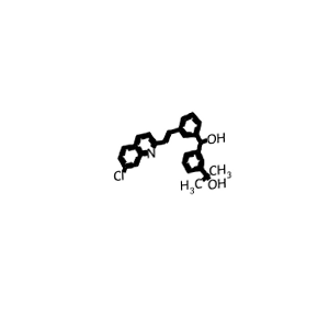 CC(C)(O)c1cccc(C(O)c2cccc(/C=C/c3ccc4ccc(Cl)cc4n3)c2)c1